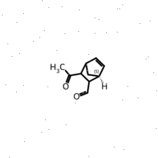 CC(=O)C1C2C=C[C@H](C2)C1C=O